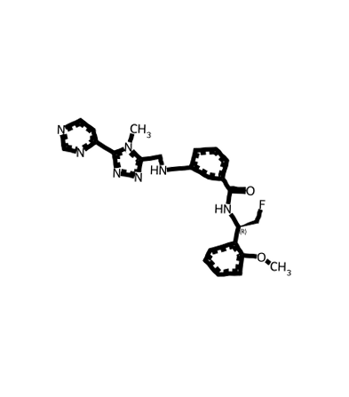 COc1ccccc1[C@H](CF)NC(=O)c1cccc(NCc2nnc(-c3ccncn3)n2C)c1